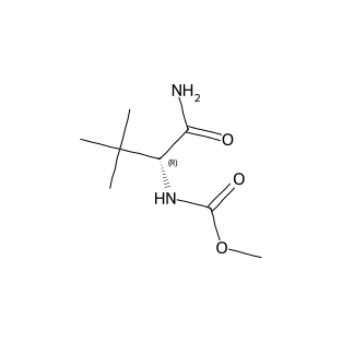 COC(=O)N[C@@H](C(N)=O)C(C)(C)C